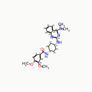 COc1ccc(C(=O)N[C@H]2CC[C@@H](Nc3nc(N(C)C)c4ccccc4n3)CC2)cc1OC